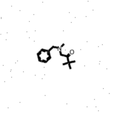 CN(CC(=O)C(C)(C)C)Cc1ccccc1